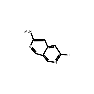 CNc1cc2cc(Cl)ncc2cn1